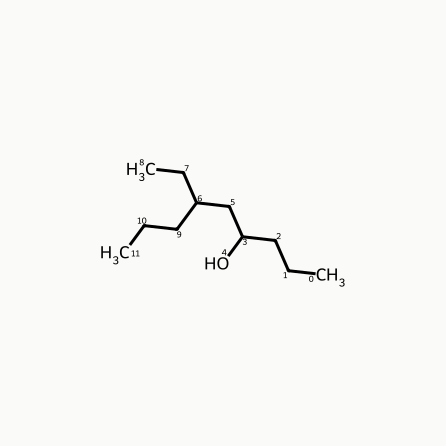 CCCC(O)CC(CC)CCC